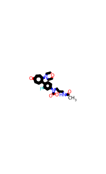 CC(=O)NCC1CN(c2ccc(-c3ccc(=O)ccc3N3CCOCC3)c(F)c2)C(=O)O1